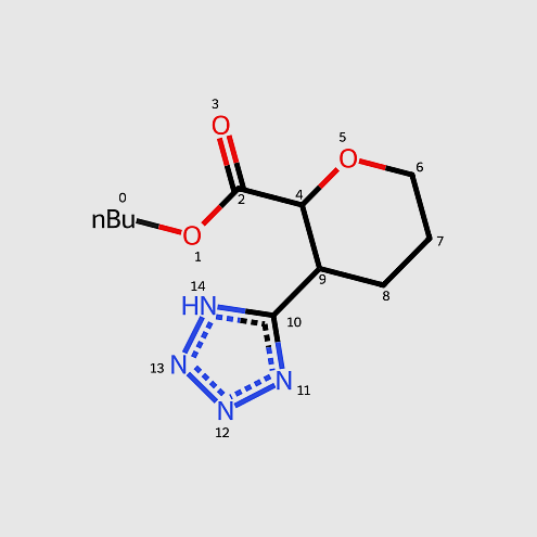 CCCCOC(=O)C1OCCCC1c1nnn[nH]1